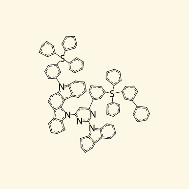 c1ccc(-c2cccc(S(c3ccccc3)(c3ccccc3)c3cccc(-c4cc(-n5c6ccccc6c6ccc7c(c8ccccc8n7-c7cccc(S(c8ccccc8)(c8ccccc8)c8ccccc8)c7)c65)nc(-n5c6ccccc6c6ccccc65)n4)c3)c2)cc1